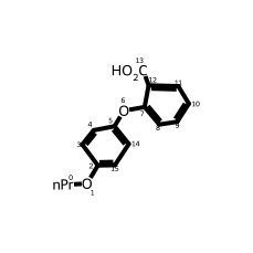 CCCOc1ccc(Oc2ccccc2C(=O)O)cc1